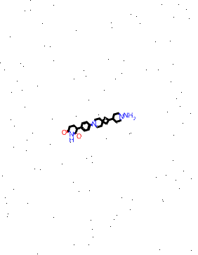 NN1CCC(C2CC3(CCN(c4ccc(C5CCC(=O)NC5=O)cc4)CC3)C2)CC1